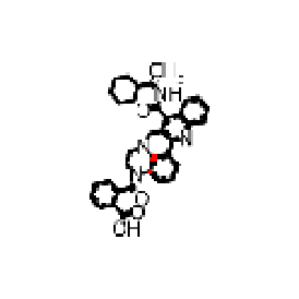 C[C@H](NC(=O)c1c(CN2CCN(C(=O)c3ccccc3C(=O)O)CC2)c(-c2ccccc2)nc2ccccc12)C1CCCCC1